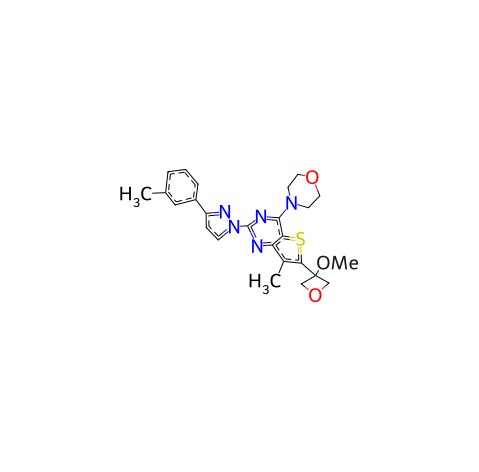 COC1(c2sc3c(N4CCOCC4)nc(-n4ccc(-c5cccc(C)c5)n4)nc3c2C)COC1